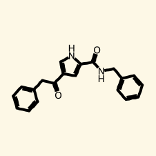 O=C(Cc1ccccc1)c1c[nH]c(C(=O)NCc2ccccc2)c1